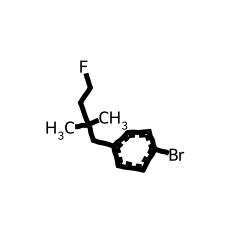 CC(C)(CCF)Cc1ccc(Br)cc1